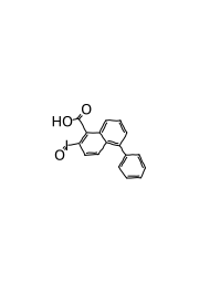 O=Ic1ccc2c(-c3ccccc3)cccc2c1C(=O)O